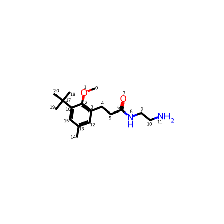 COc1c(CCC(=O)NCCN)cc(C)cc1C(C)(C)C